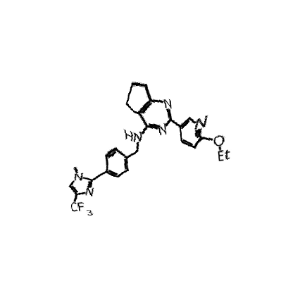 CCOc1ccc(-c2nc3c(c(NCc4ccc(-c5nc(C(F)(F)F)cn5C)cc4)n2)CCC3)cn1